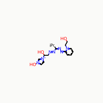 CC(C)C(N=NCC(O)[n+]1ccn(O)c1)=NN=c1ccccn1CCO